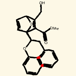 COC(=O)C1=C(CO)C2C=CC1(C(Cc1ccccc1)Oc1ccccc1)O2